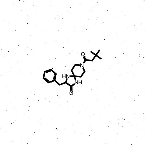 CC(C)(C)CC(=O)N1CCC2(CC1)NC(=O)C(Cc1ccccc1)N2